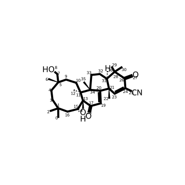 CC1(C)CC[C@](C)(CO)CC[C@]2(C)[C@@](O)(CC1)C(=O)C=C1[C@@]3(C)C=C(C#N)C(=O)C(C)(C)[C@@H]3CC[C@]12C